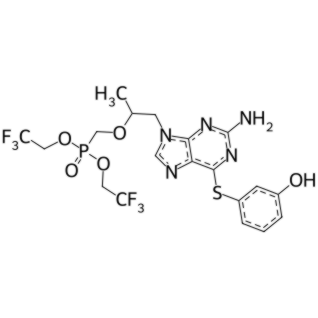 CC(Cn1cnc2c(Sc3cccc(O)c3)nc(N)nc21)OCP(=O)(OCC(F)(F)F)OCC(F)(F)F